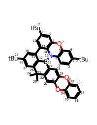 CC(C)(C)c1ccc2c(c1)Oc1cc(C(C)(C)C)cc3c1N2B1c2cc4c(cc2C(C)(C)c2cc(C(C)(C)C)cc-3c21)Oc1ccccc1O4